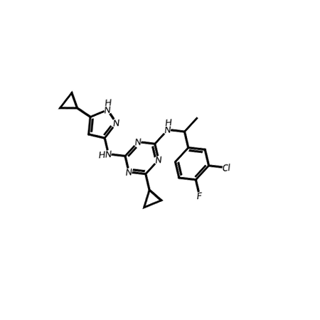 CC(Nc1nc(Nc2cc(C3CC3)[nH]n2)nc(C2CC2)n1)c1ccc(F)c(Cl)c1